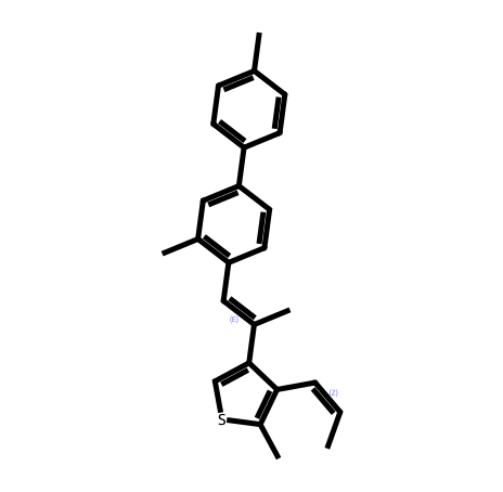 C/C=C\c1c(/C(C)=C/c2ccc(-c3ccc(C)cc3)cc2C)csc1C